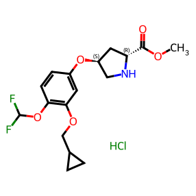 COC(=O)[C@H]1C[C@H](Oc2ccc(OC(F)F)c(OCC3CC3)c2)CN1.Cl